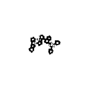 C1=CC(c2nc(-c3ccccc3)nc(-c3ccc(-c4cccc5oc6c(-n7c8ccccc8c8cc9ccccc9cc87)cccc6c45)c4ccccc34)n2)=CCC1